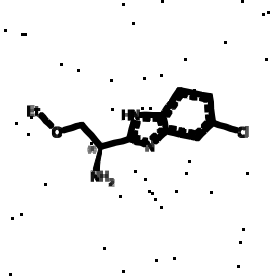 CCOC[C@H](N)c1nc2cc(Cl)ccc2[nH]1